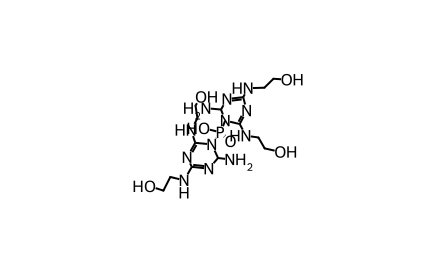 NC1N=C(NCCO)N=C(NCCO)N1P(=O)(O)N1C(NCCO)=NC(NCCO)=NC1N